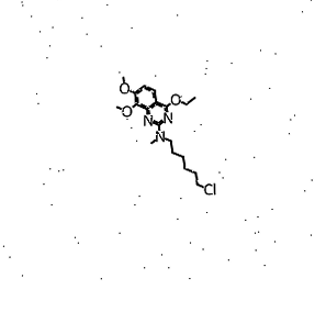 CCOc1nc(N(C)CCCCCCCl)nc2c(OC)c(OC)ccc12